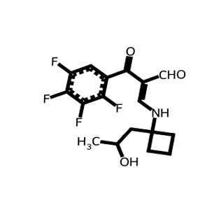 CC(O)CC1(NC=C(C=O)C(=O)c2cc(F)c(F)c(F)c2F)CCC1